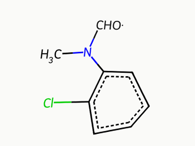 CN([C]=O)c1ccccc1Cl